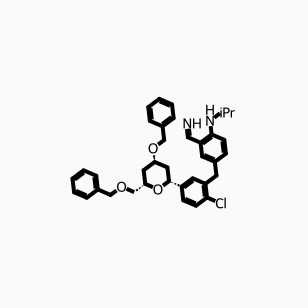 CC(C)Nc1ccc(Cc2cc([C@H]3C[C@@H](OCc4ccccc4)C[C@@H](COCc4ccccc4)O3)ccc2Cl)cc1C=N